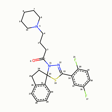 O=C(CCCN1CCCCC1)N1N=C(c2cc(F)ccc2F)SC12CCc1ccccc12